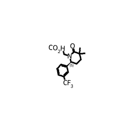 CC1(C)CC[C@@H](c2cccc(C(F)(F)F)c2)N(CC(=O)O)C1=O